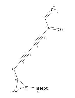 C=CC(=O)C#CC#CCC1OC1CCCCCCC